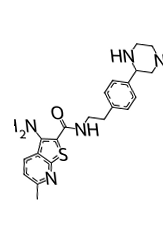 Cc1ccc2c(N)c(C(=O)NCCc3ccc(C4CNCCN4)cc3)sc2n1